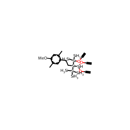 C#CO[SiH](OC#C)[Si](CCc1cc(C)c(OC)cc1C)([Si]([SiH3])([SiH3])[SiH3])[Si]([SiH3])([SiH3])OC#C